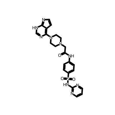 O=C(CN1CCN(c2nc[nH]c3nccc2-3)CC1)Nc1ccc(S(=O)(=O)Nc2ncccn2)cc1